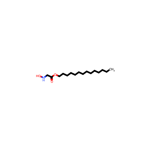 CCCCCCCCCCCCCCOC(=O)CNO